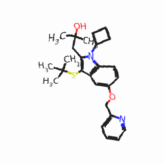 CC(C)(O)Cc1c(SC(C)(C)C)c2cc(OCc3ccccn3)ccc2n1C1CCC1